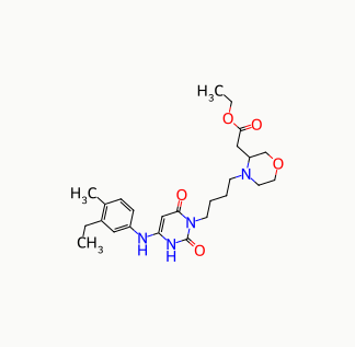 CCOC(=O)CC1COCCN1CCCCn1c(=O)cc(Nc2ccc(C)c(CC)c2)[nH]c1=O